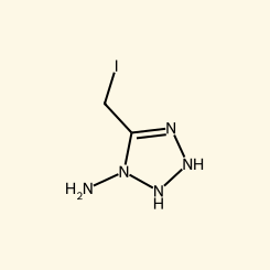 NN1NNN=C1CI